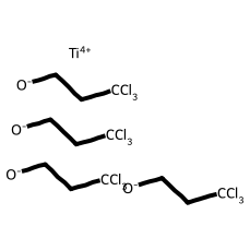 [O-]CCC(Cl)(Cl)Cl.[O-]CCC(Cl)(Cl)Cl.[O-]CCC(Cl)(Cl)Cl.[O-]CCC(Cl)(Cl)Cl.[Ti+4]